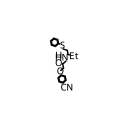 CCC(CCSc1ccccc1)NCC(O)COc1ccc(C#N)cc1